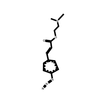 CN(C)CCOC(=O)C=Cc1ccc(N=[N+]=[N-])cc1